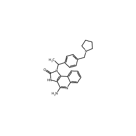 CC(c1ccc(CN2CCCC2)cc1)n1c(=O)[nH]c2c(N)nc3ccccc3c21